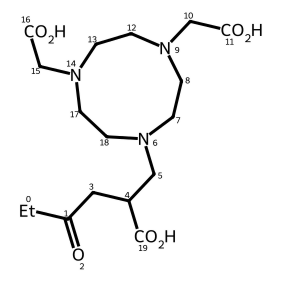 CCC(=O)CC(CN1CCN(CC(=O)O)CCN(CC(=O)O)CC1)C(=O)O